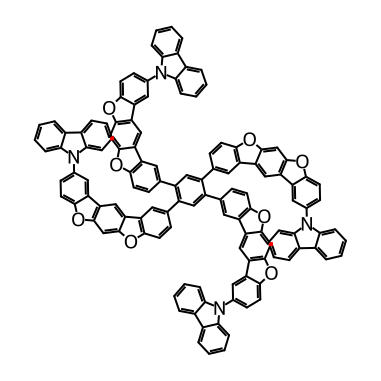 c1ccc2c(c1)c1ccccc1n2-c1ccc2oc3cc4oc5ccc(-c6cc(-c7ccc8oc9cc%10oc%11ccc(-n%12c%13ccccc%13c%13ccccc%13%12)cc%11c%10cc9c8c7)c(-c7ccc8oc9cc%10oc%11ccc(-n%12c%13ccccc%13c%13ccccc%13%12)cc%11c%10cc9c8c7)cc6-c6ccc7oc8cc9oc%10ccc(-n%11c%12ccccc%12c%12ccccc%12%11)cc%10c9cc8c7c6)cc5c4cc3c2c1